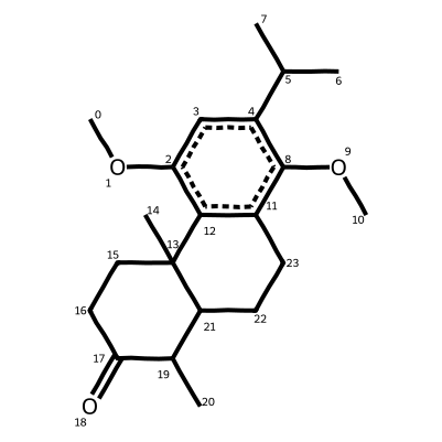 COc1cc(C(C)C)c(OC)c2c1C1(C)CCC(=O)C(C)C1CC2